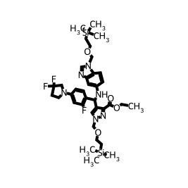 CCOC(=O)c1nn(COCC[Si](C)(C)C)cc1C(Nc1ccc2c(c1)ncn2COCC[Si](C)(C)C)c1ccc(N2CCC(F)(F)C2)cc1F